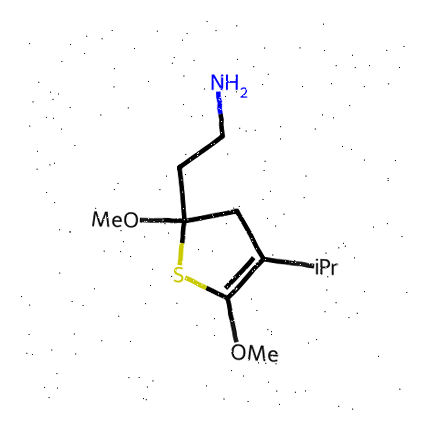 COC1=C(C(C)C)CC(CCN)(OC)S1